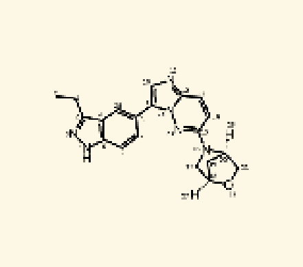 CCc1n[nH]c2ccc(-c3cnc4ccc(N5C[C@H]6C[C@@H]5CO6)nn34)cc12